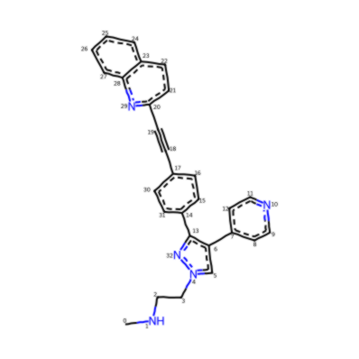 CNCCn1cc(-c2ccncc2)c(-c2ccc(C#Cc3ccc4ccccc4n3)cc2)n1